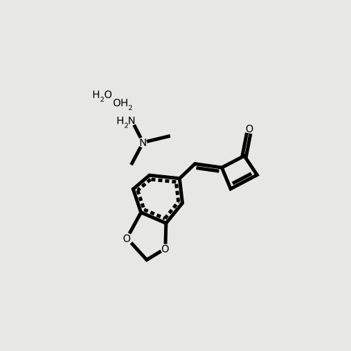 CN(C)N.O.O.O=C1C=CC1=Cc1ccc2c(c1)OCO2